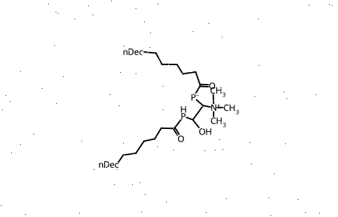 CCCCCCCCCCCCCCCC(=O)[P-]C(C(O)PC(=O)CCCCCCCCCCCCCCC)[N+](C)(C)C